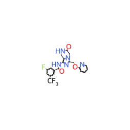 O=C1Cn2c(COc3ccccn3)nc(NC(=O)c3cc(F)cc(C(F)(F)F)c3)c2CN1